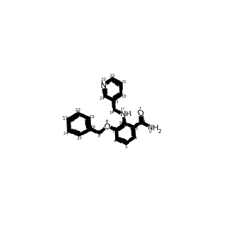 NC(=O)c1cccc(OCc2ccccc2)c1NCc1cccnc1